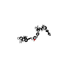 CN1CC(C2CN(c3ccn4ncc(C(=O)Nc5cn([C@H]6CC[C@H](CN7CC[C@@H](OCC#Cc8cccc9c(C%10CCC(=O)NC%10=O)nn(C)c89)[C@@H](F)C7)CC6)nc5C(F)F)c4n3)C2)C1